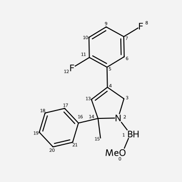 COBN1CC(c2cc(F)ccc2F)=CC1(C)c1ccccc1